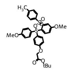 COc1ccc(S(OS(=O)(=O)c2ccc(C)cc2)(c2ccc(OC)cc2)c2ccc(OCC(=O)OC(C)(C)C)cc2)cc1